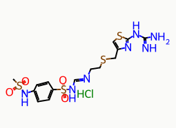 CS(=O)(=O)Nc1ccc(S(=O)(=O)NC=NCCSCc2csc(NC(=N)N)n2)cc1.Cl